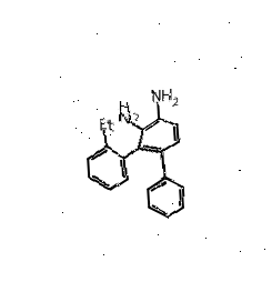 CCc1ccccc1-c1c(-c2ccccc2)ccc(N)c1N